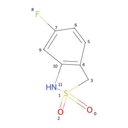 O=S1(=O)Cc2ccc(F)cc2N1